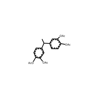 CC(=O)Oc1ccc(C(C)c2ccc(OC(C)=O)c(OC(C)=O)c2)cc1OC(C)=O